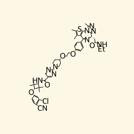 CCNC(=O)C[C@@H]1N=C(c2ccc(OCCOC3CCN(c4ncc(C(=O)NC5C(C)(C)C(Oc6ccc(C#N)c(Cl)c6)C5(C)C)cn4)CC3)cc2)c2c(sc(C)c2C)-n2c(C)nnc21